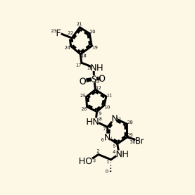 C[C@H](CO)Nc1nc(Nc2ccc(S(=O)(=O)NCc3cccc(F)c3)cc2)ncc1Br